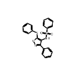 O=S(=O)(Nc1c(-c2ccccc2)noc1Sc1ccccc1)c1ccccc1